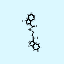 O=C(NCCNc1nsc2ccccc12)c1n[nH]c2ccccc12